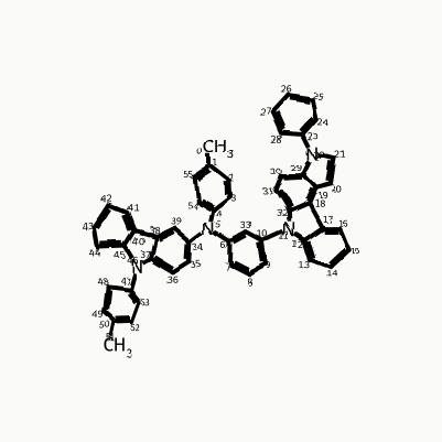 Cc1ccc(N(c2cccc(-n3c4ccccc4c4c5ccn(-c6ccccc6)c5ccc43)c2)c2ccc3c(c2)c2ccccc2n3-c2ccc(C)cc2)cc1